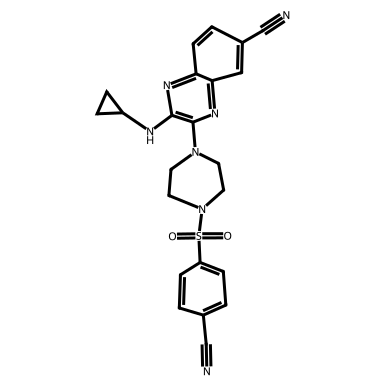 N#Cc1ccc(S(=O)(=O)N2CCN(c3nc4cc(C#N)ccc4nc3NC3CC3)CC2)cc1